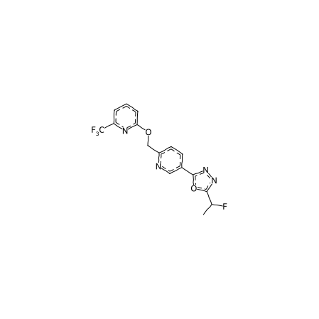 CC(F)c1nnc(-c2ccc(COc3cccc(C(F)(F)F)n3)nc2)o1